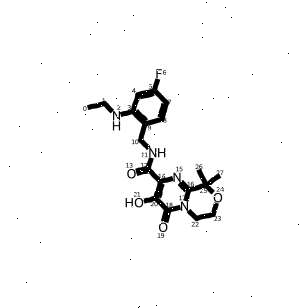 CCNc1cc(F)ccc1CNC(=O)c1nc2n(c(=O)c1O)CCOC2(C)C